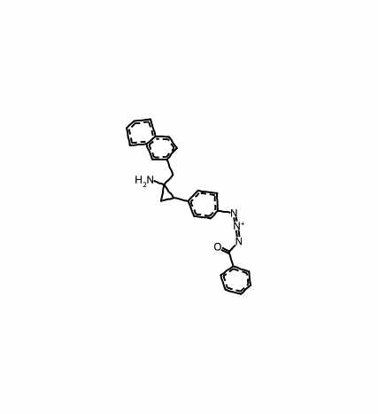 NC1(Cc2ccc3ccccc3c2)CC1c1ccc(N=[N+]=NC(=O)c2ccccc2)cc1